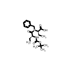 CC[C@H](NC(=O)OC(C)(C)C)C(=O)N(Cc1ccccc1)[C@H](CC)C(=O)O